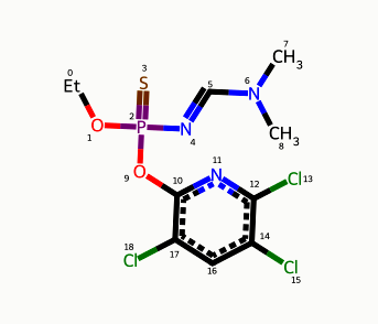 CCOP(=S)(N=CN(C)C)Oc1nc(Cl)c(Cl)cc1Cl